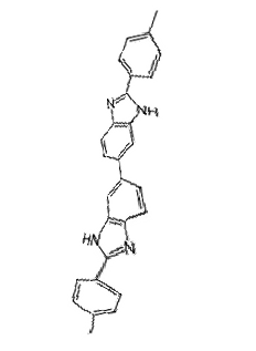 Cc1ccc(-c2nc3ccc(-c4ccc5nc(-c6ccc(C)cc6)[nH]c5c4)cc3[nH]2)cc1